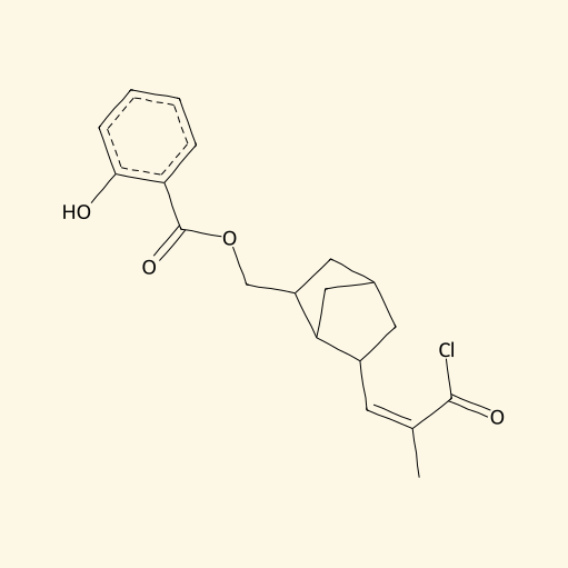 C/C(=C/C1CC2CC(COC(=O)c3ccccc3O)C1C2)C(=O)Cl